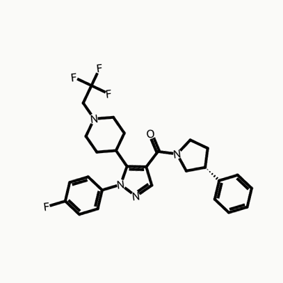 O=C(c1cnn(-c2ccc(F)cc2)c1C1CCN(CC(F)(F)F)CC1)N1CC[C@H](c2ccccc2)C1